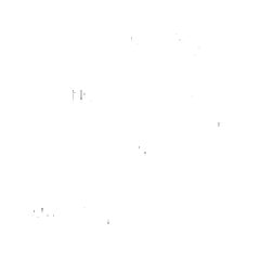 COC(=O)c1ccc2c3c(C#N)cc(-c4c(C)noc4C)cc3n(C(c3ccccc3)C3CCOCC3)c2c1